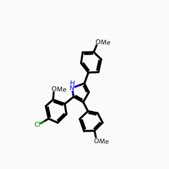 COc1ccc(-c2cc(-c3ccc(OC)cc3)c(-c3ccc(Cl)cc3OC)[nH]2)cc1